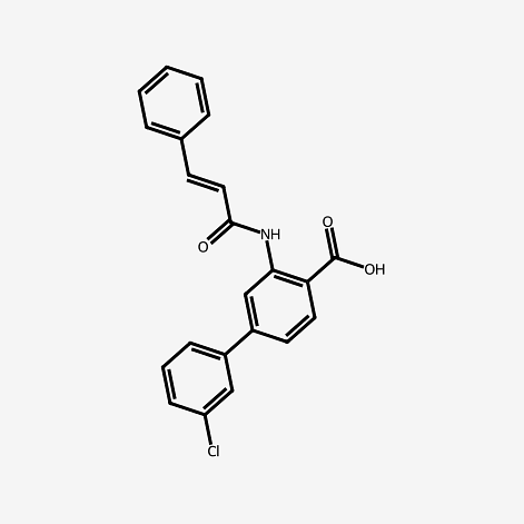 O=C(/C=C/c1ccccc1)Nc1cc(-c2cccc(Cl)c2)ccc1C(=O)O